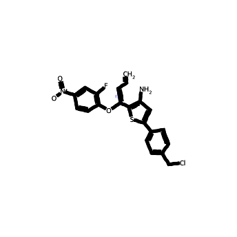 C=C/C=C(/Oc1ccc([N+](=O)[O-])cc1F)c1sc(-c2ccc(CCl)cc2)cc1N